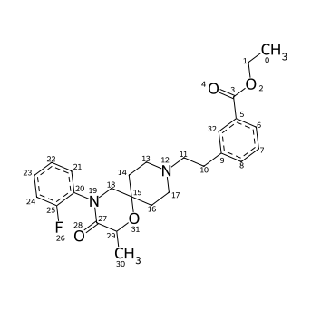 CCOC(=O)c1cccc(CCN2CCC3(CC2)CN(c2ccccc2F)C(=O)C(C)O3)c1